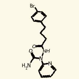 NC(=O)N(NC(=O)CCCc1ccc(Br)cc1)c1ccccn1